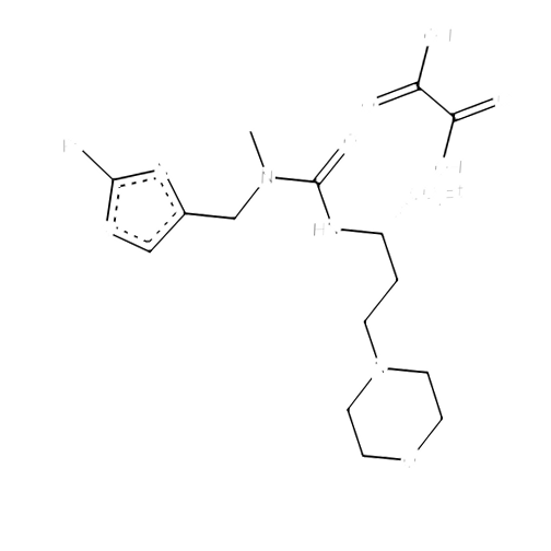 CCOC(=O)[C@H](CCN1CCOCC1)NC(=O)N(C)Cc1csc(C(C)C)n1.O=C(O)C(=O)O